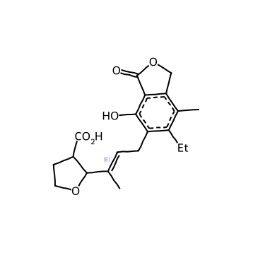 CCc1c(C)c2c(c(O)c1C/C=C(\C)C1OCCC1C(=O)O)C(=O)OC2